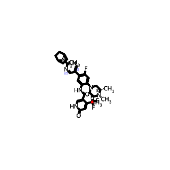 CC(/N=C\C(=C/N)c1cc(NC(=O)c2c[nH]c(=O)cc2C(F)(F)F)c(N2C[C@@H](C)N(C)[C@@H](C)C2)cc1F)N1C2CCC1CC2